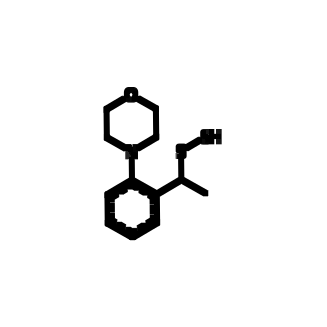 CC(SS)c1ccccc1N1CCOCC1